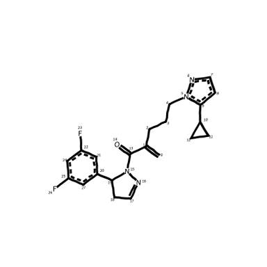 C=C(CCCn1nccc1C1CC1)C(=O)N1N=CCC1c1cc(F)cc(F)c1